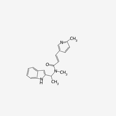 Cc1ccc(/C=C/C(=O)N(C)C(C)c2cc3ccccc3[nH]2)cn1